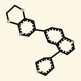 c1cc(-c2ccnc3ccc(-c4cnc5c(c4)OCCO5)cc23)ccn1